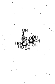 OCCCOC[C@H]1O[C@@H](O[C@H]2[C@H](O)[C@@H](O)[C@@H](O)O[C@@H]2CO)[C@H](O)[C@@H](O)[C@H]1O